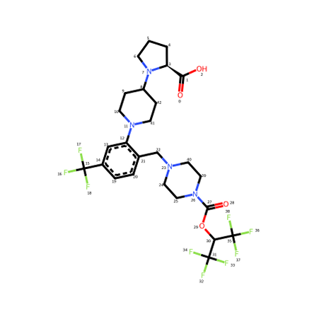 O=C(O)[C@@H]1CCCN1C1CCN(c2cc(C(F)(F)F)ccc2CN2CCN(C(=O)OC(C(F)(F)F)C(F)(F)F)CC2)CC1